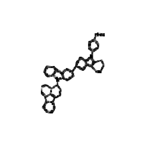 CCCCCCc1ccc(-n2c3c(c4cc(-c5ccc6c(c5)c5ccccc5n6C5C=CC6=C7C(=CC=CC75)c5ccccc56)ccc42)C=CCC3)cc1